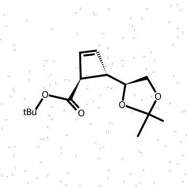 CC(C)(C)OC(=O)[C@H]1C=C[C@@H]1[C@H]1COC(C)(C)O1